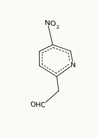 O=CCc1ccc([N+](=O)[O-])cn1